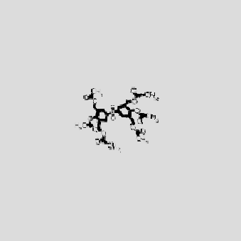 CC(=O)OCc1cc(S(=O)(=O)c2cc(COC(C)=O)c(OC(C)=O)c(COC(C)=O)c2)cc(COC(C)=O)c1OC(C)=O